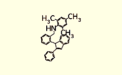 Cc1cc(C)c(NCc2ccccc2C2C(c3ccccc3)=Cc3ccccc32)c(C)c1